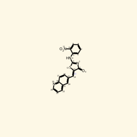 O=C1N=C(Nc2ccccc2[N+](=O)[O-])S/C1=C\c1ccc2ncccc2c1